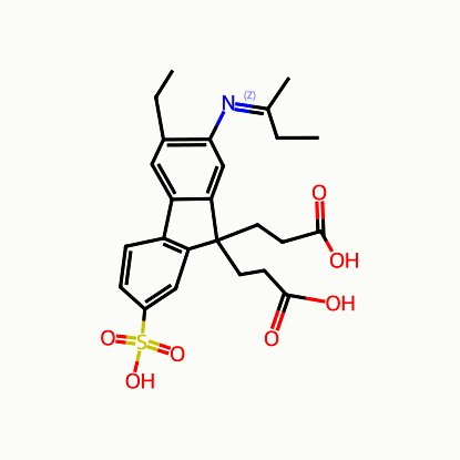 CC/C(C)=N\c1cc2c(cc1CC)-c1ccc(S(=O)(=O)O)cc1C2(CCC(=O)O)CCC(=O)O